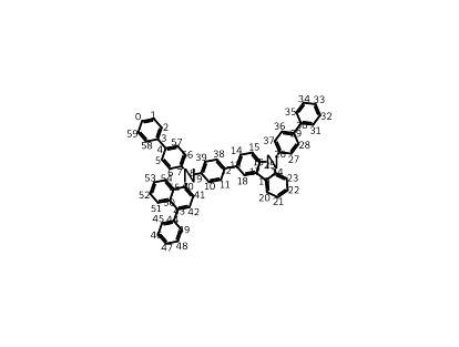 c1ccc(-c2ccc(N(c3ccc(-c4ccc5c(c4)c4ccccc4n5-c4ccc(-c5ccccc5)cc4)cc3)c3ccc(-c4ccccc4)c4ccccc34)cc2)cc1